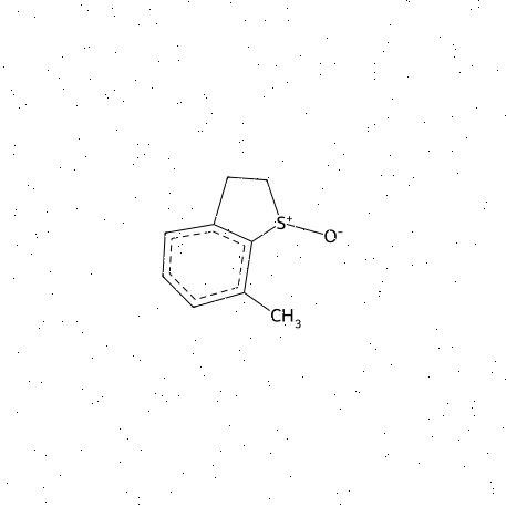 Cc1cccc2c1[S+]([O-])CC2